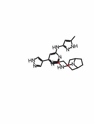 Cc1cc(Nc2cc(-c3cn[nH]c3)nc(NC3CC4CCC(C3)N4CCC#N)n2)n[nH]1